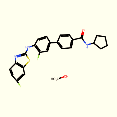 O=C(NC1CCCC1)c1ccc(-c2ccc(Nc3nc4ccc(F)cc4s3)c(F)c2)cc1.O=C(O)O